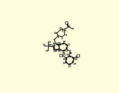 CC(=O)N1CCC(Cn2c(C(C)(C)C)nc3cc(Sc4c(Cl)cccc4Cl)ccc32)CC1